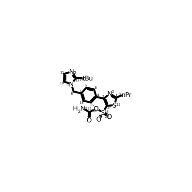 CCCc1nc(-c2ccc(Cn3ccnc3C(C)(C)C)cc2)c(S(=O)(=O)OC(N)=O)s1